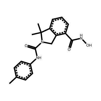 Cc1ccc(NC(=O)N2Cc3c(C(=O)NO)cccc3C2(C)C)cc1